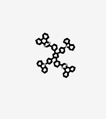 c1cc(-c2cnc3c4ccccc4c4ccccc4c3n2)cc(-c2cc(-c3ccc(-n4c5ccccc5c5ccccc54)cc3)c(-c3cccc(-c4cnc5c6ccccc6c6ccccc6c5n4)c3)cc2-c2ccc(-n3c4ccccc4c4ccccc43)cc2)c1